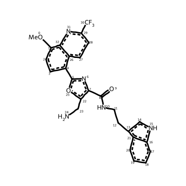 COc1ccc(-c2nc(C(=O)NCCc3c[nH]c4ccccc34)c(CN)o2)c2ccc(C(F)(F)F)nc12